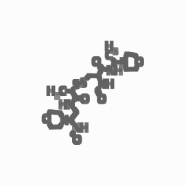 CC(SSCC(NC=O)C(=O)NC(C)N1CCOCC1)C(=O)NCC(NC=O)N1CCOCC1